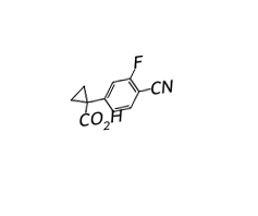 N#Cc1ccc(C2(C(=O)O)CC2)cc1F